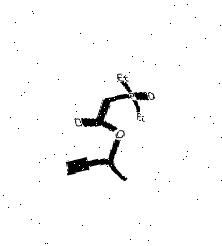 C#CC(C)OC(=O)CP(=O)(CC)CC